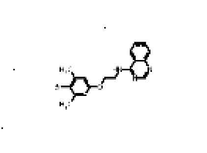 Cc1cc(OCCNc2ncnc3ccccc23)cc(C)c1Br